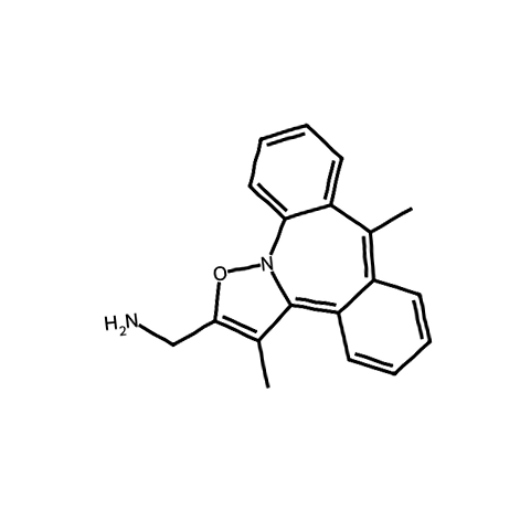 CC1=C(CN)ON2C1=c1ccccc1=C(C)c1ccccc12